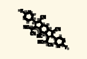 N#CC(C#N)=C1C(c2cnc(F)nc2)=C(C#N)c2cc3c(c(C#N)c21)C(=C(C#N)C#N)C(c1cnc(F)nc1)=C3C#N